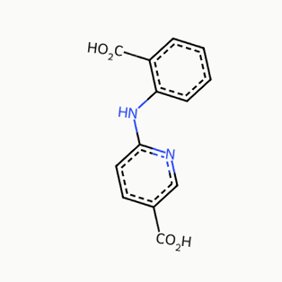 O=C(O)c1ccc(Nc2ccccc2C(=O)O)nc1